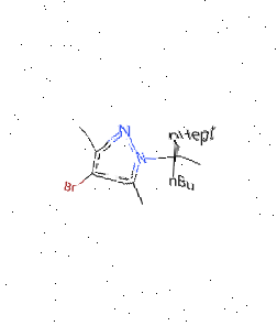 CCCCCCCC(C)(CCCC)n1nc(C)c(Br)c1C